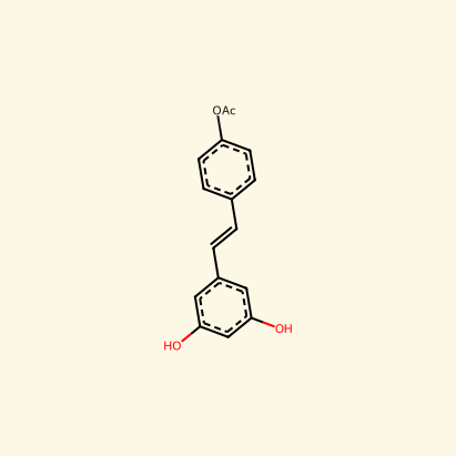 CC(=O)Oc1ccc(/C=C/c2cc(O)cc(O)c2)cc1